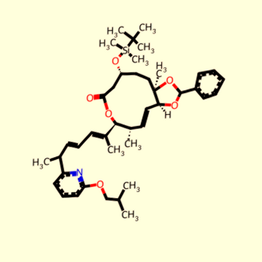 C/C(=C\C=C\C(C)c1cccc(OCC(C)C)n1)[C@H]1OC(=O)C[C@H](O[Si](C)(C)C(C)(C)C)CC[C@@]2(C)OC(c3ccccc3)O[C@H]2/C=C/[C@@H]1C